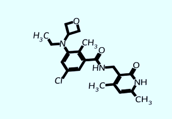 CCN(c1cc(Cl)cc(C(=O)NCc2c(C)cc(C)[nH]c2=O)c1C)C1COC1